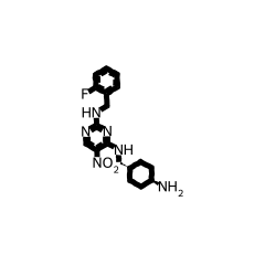 N[C@H]1CC[C@H](CNc2nc(NCc3ccccc3F)ncc2[N+](=O)[O-])CC1